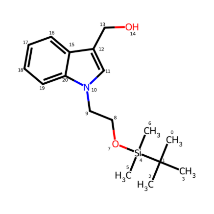 CC(C)(C)[Si](C)(C)OCCn1cc(CO)c2ccccc21